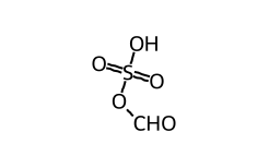 O=COS(=O)(=O)O